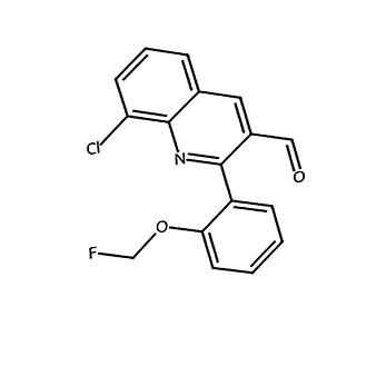 O=Cc1cc2cccc(Cl)c2nc1-c1ccccc1OCF